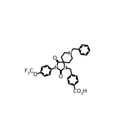 O=C(O)c1ccc(CN2C(=O)N(c3ccc(OC(F)(F)F)cc3)C(=O)C23CCN(Cc2ccccc2)CC3)cc1